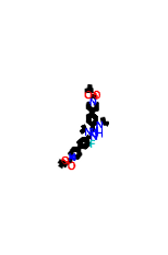 CC(C)Nc1cc(C2=CCN(C(=O)OC(C)(C)C)CC2)ccc1-c1nnc(-c2ccc(C3=CCN(C(=O)OC(C)(C)C)CC3)cc2F)n1C(C)C